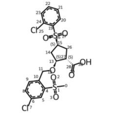 CS(=O)(=O)c1cc(Cl)ccc1CO[C@H]1C[C@@H](S(=O)(=O)c2ccccc2Cl)C[C@@H]1C(=O)O